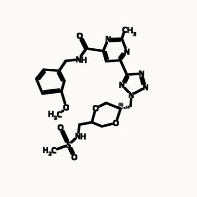 COc1cccc(CNC(=O)c2cc(-c3nnn(C[C@H]4COC(CNS(C)(=O)=O)CO4)n3)nc(C)n2)c1